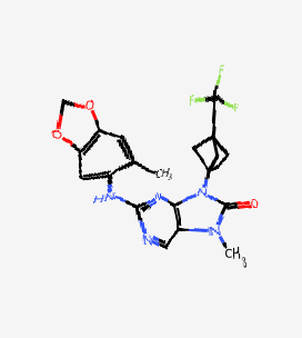 Cc1cc2c(cc1Nc1ncc3c(n1)n(C14CC(C(F)(F)F)(C1)C4)c(=O)n3C)OCO2